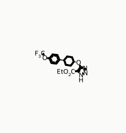 CCOC(=O)c1[nH]nnc1O[C@H]1CC[C@H](c2ccc(OC(F)(F)F)cc2)CC1